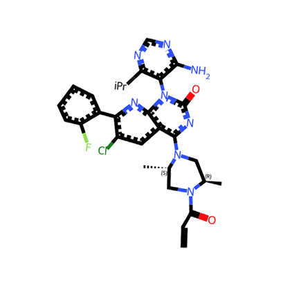 C=CC(=O)N1C[C@H](C)N(c2nc(=O)n(-c3c(N)ncnc3C(C)C)c3nc(-c4ccccc4F)c(Cl)cc23)C[C@H]1C